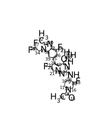 [2H]C([2H])([2H])Oc1nc(N[C@H]2CCN(C(C)=O)C[C@H]2F)nn2cc(F)c(-c3cc(F)c4nc(C)n(CC(F)F)c4c3)c12